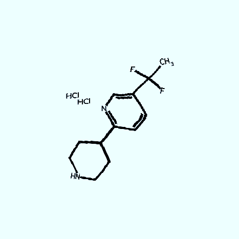 CC(F)(F)c1ccc(C2CCNCC2)nc1.Cl.Cl